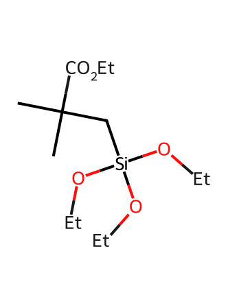 CCOC(=O)C(C)(C)C[Si](OCC)(OCC)OCC